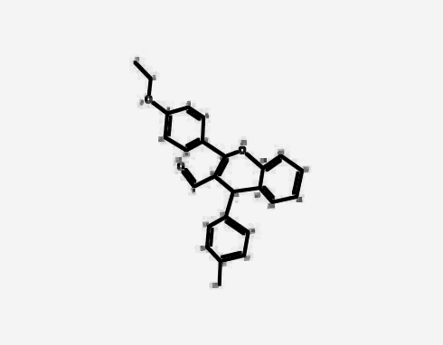 CCOc1ccc(C2=C(C=O)C(c3ccc(C)cc3)c3ccccc3O2)cc1